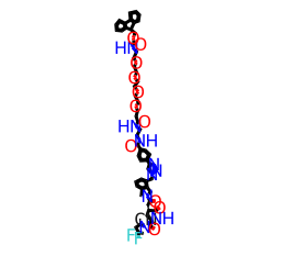 N#C[C@@H]1CC(F)(F)CN1C(=O)C1C[C@@H](CC(=O)N2Cc3cccc(Cn4cc(-c5ccc(C(=O)NCCNC(=O)CCOCCOCCOCCOCCNC(=O)OCC6c7ccccc7-c7ccccc76)cc5)nn4)c3C2)C(=O)N1